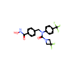 O=C(NO)c1ccc(CN(C(=O)N2CC(F)(F)C2)c2ccc(C(F)(F)F)cc2)cc1